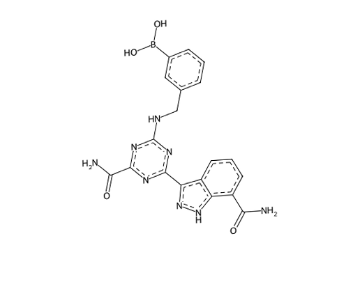 NC(=O)c1nc(NCc2cccc(B(O)O)c2)nc(-c2n[nH]c3c(C(N)=O)cccc23)n1